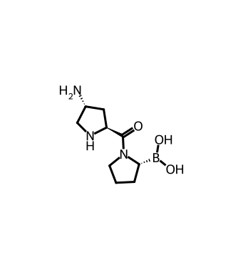 N[C@H]1CN[C@H](C(=O)N2CCC[C@H]2B(O)O)C1